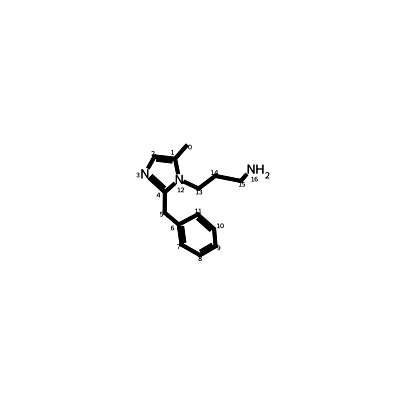 Cc1cnc(Cc2ccccc2)n1CCCN